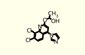 CC(O)Oc1cc(-n2ccnc2)c2ccc(Cl)c(Cl)c2n1